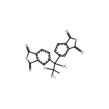 O=C1OC(=O)c2cc(C(c3ccc4c(c3)C(=O)OC4=O)(C(F)(F)F)C(F)(F)C(F)(F)F)ccc21